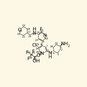 N[C@H]1CC[C@H](Nc2cc(-c3cnc(F)c(NCC4CCOCC4)c3)c(Cl)cn2)CC1.O=C(O)C(F)(F)F